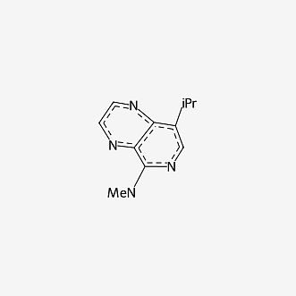 CNc1ncc(C(C)C)c2nccnc12